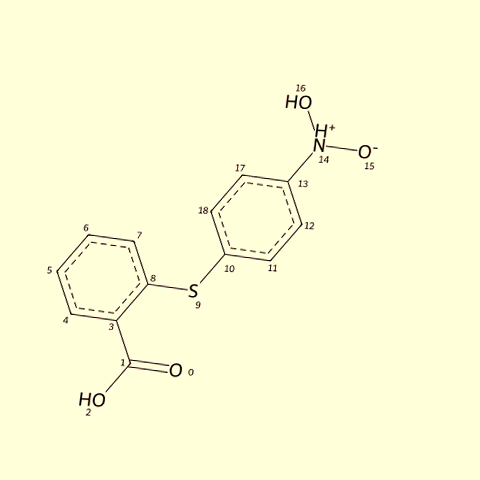 O=C(O)c1ccccc1Sc1ccc([NH+]([O-])O)cc1